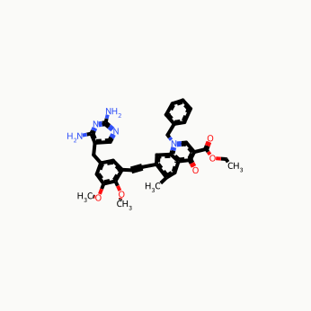 CCOC(=O)c1cn(Cc2ccccc2)c2cc(C#Cc3cc(Cc4cnc(N)nc4N)cc(OC)c3OC)c(C)cc2c1=O